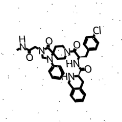 CNC(=O)CN1CN(c2ccccc2)C2(CCN(C(=O)[C@@H](Cc3ccc(Cl)cc3)NC(=O)[C@H]3Cc4ccccc4CN3)CC2)C1=O